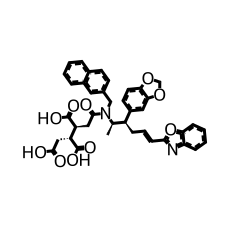 C[C@H]([C@H](C/C=C/c1nc2ccccc2o1)c1ccc2c(c1)OCO2)N(Cc1ccc2ccccc2c1)C(=O)C[C@H](C(=O)O)[C@@H](CC(=O)O)C(=O)O